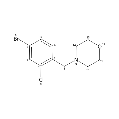 Clc1cc(Br)ccc1CN1CCOCC1